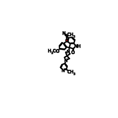 CCOc1ccc(OC)cc1C1(N2CC3(CN(c4ccnc(C)c4)C3)C2)C(=O)Nc2ccc(C#N)cc21